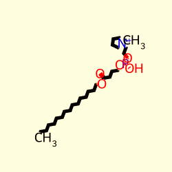 CCCCCCCCCCCCCCCCOC(=O)CCCOP(O)OCC[N+]1(C)CCCC1